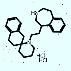 Cl.Cl.c1ccc2c(c1)CCC1(CCCCN1CCC1CNCCc3ccccc31)C2